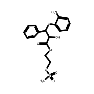 CS(=O)(=O)OCCNC(=O)C(O)C(Oc1ccccc1[N+](=O)[O-])c1ccccc1